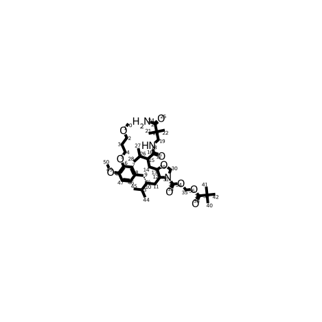 COCCCOc1cc(C[C@H](CC2C(CC(C(=O)NCC(C)(C)C(N)=O)C(C)C)OCN2C(=O)OCOC(=O)C(C)(C)C)C(C)C)ccc1OC